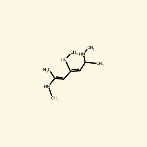 CNC(C)=CC(=CC(C)NC)NC